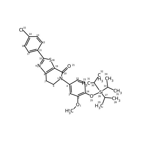 COc1cc(N2CCc3nc(-c4ccc(Cl)cc4)sc3C2=O)ccc1O[Si](C(C)C)(C(C)C)C(C)C